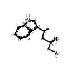 CC(=O)CC(=N)CC(C)c1c[nH]c2ccccc12